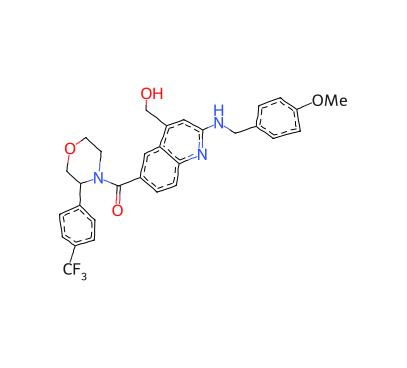 COc1ccc(CNc2cc(CO)c3cc(C(=O)N4CCOCC4c4ccc(C(F)(F)F)cc4)ccc3n2)cc1